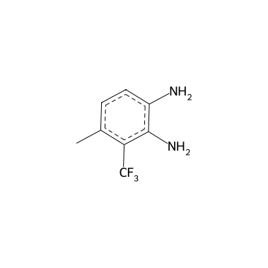 Cc1ccc(N)c(N)c1C(F)(F)F